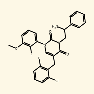 COc1cccc(-n2nc(Cc3c(F)cccc3Cl)c(=O)n(CC(N)c3ccccc3)c2=O)c1F